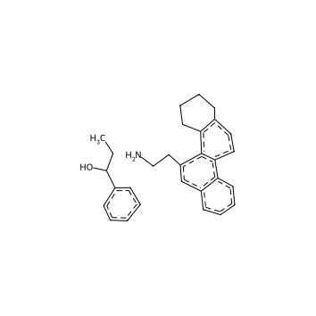 CCC(O)c1ccccc1.NCCc1cc2ccccc2c2ccc3c(c12)CCCC3